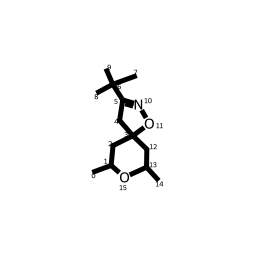 CC1CC2(CC(C(C)(C)C)=NO2)CC(C)O1